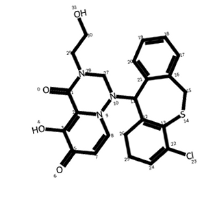 O=C1c2c(O)c(=O)ccn2N(C2C3=C(SCc4ccccc42)C(Cl)=CCC3)CN1CCO